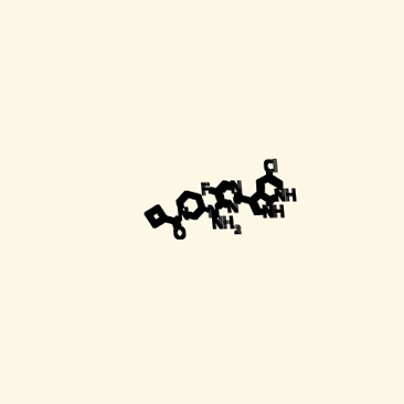 NN(c1nc(C2=CNC3NC=C(Cl)C=C23)ncc1F)[C@@H]1CCCN(C(=O)C2CCC2)C1